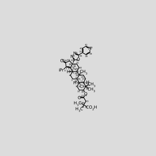 CC(C)C1=C2[C@H]3CC[C@@H]4[C@@]5(C)CC[C@H](OC(=O)CC(C)(C)C(=O)O)C(C)(C)[C@@H]5CC[C@@]4(C)[C@]3(C)CC[C@@]2(c2nnc(-c3ccncc3)o2)CC1=O